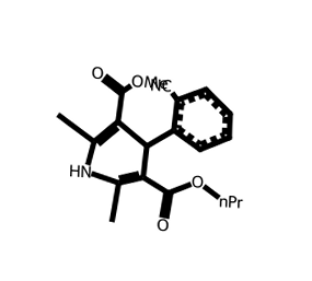 CCCOC(=O)C1=C(C)NC(C)=C(C(=O)OC)C1c1ccccc1C#N